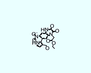 CCOC(=O)Cn1c(=O)c(=O)[nH]c2cc([N+](=O)[O-])c(-c3[nH]ccc3C=O)cc21